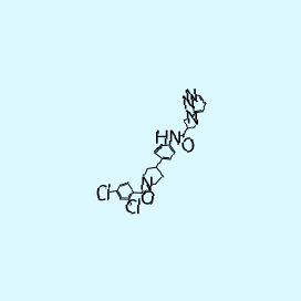 O=C(Nc1ccc(C2CCN(C(=O)c3ccc(Cl)cc3Cl)CC2)cc1)C1CN(c2cccnn2)C1